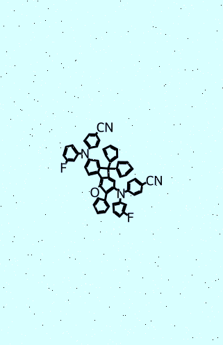 N#Cc1ccc(N(c2cccc(F)c2)c2ccc3c(c2)C(c2ccccc2)(c2ccccc2)c2cc(N(c4ccc(C#N)cc4)c4cccc(F)c4)c4c(oc5ccccc54)c2-3)cc1